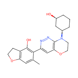 Cc1cc2c(c(O)c1-c1cc3c(nn1)N([C@@H]1CCC[C@H](O)C1)CCO3)CCO2